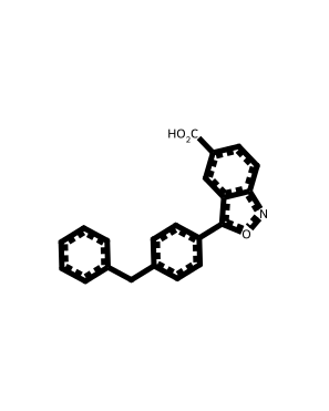 O=C(O)c1ccc2noc(-c3ccc(Cc4ccccc4)cc3)c2c1